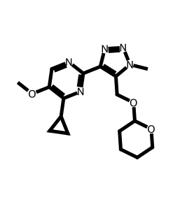 COc1cnc(-c2nnn(C)c2COC2CCCCO2)nc1C1CC1